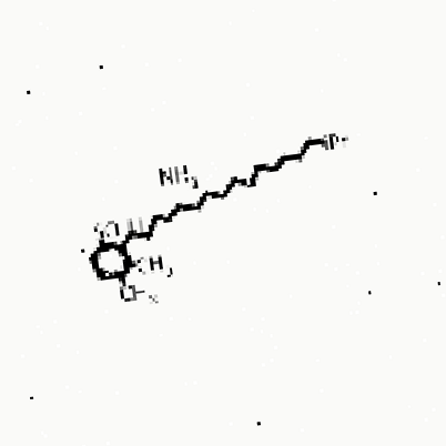 Cc1ccc(S(=O)(=O)O)c(CCCCCCCCCCCCCCCC(C)C)c1C.N